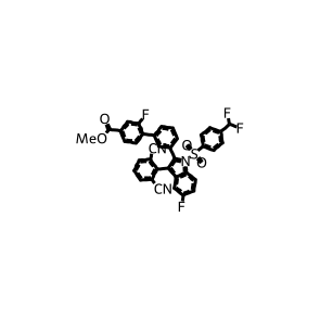 COC(=O)c1ccc(-c2cccc(-c3c(-c4c(C#N)cccc4C#N)c4cc(F)ccc4n3S(=O)(=O)c3ccc(C(F)F)cc3)c2)c(F)c1